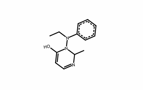 CCN(c1ccccc1)N1C(O)=CC=NC1C